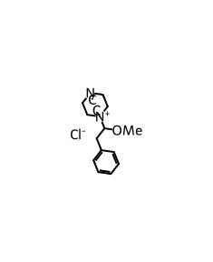 COC(Cc1ccccc1)[N+]12CCN(CC1)CC2.[Cl-]